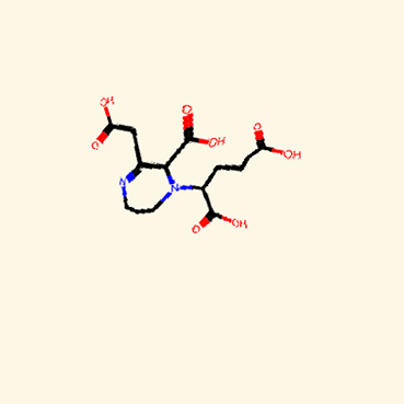 O=C(O)CCC(C(=O)O)N1CCN=C(CC(=O)O)C1C(=O)O